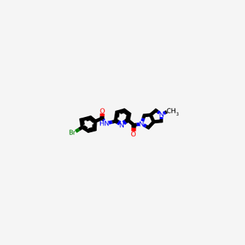 CN1CC2CN(C(=O)c3cccc(NC(=O)c4ccc(Br)cc4)n3)CC2C1